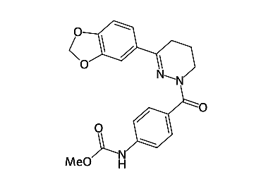 COC(=O)Nc1ccc(C(=O)N2CCCC(c3ccc4c(c3)OCO4)=N2)cc1